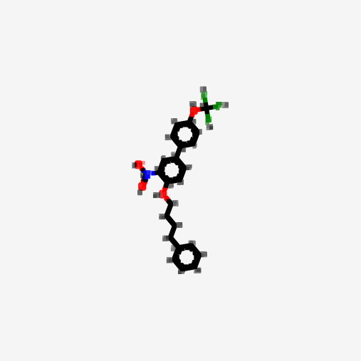 O=[N+]([O-])c1cc(-c2ccc(OC(F)(F)F)cc2)ccc1OCCCCc1ccccc1